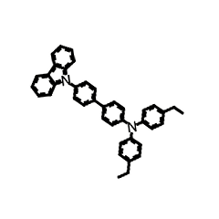 CCc1ccc(N(c2ccc(CC)cc2)c2ccc(-c3ccc(-n4c5ccccc5c5ccccc54)cc3)cc2)cc1